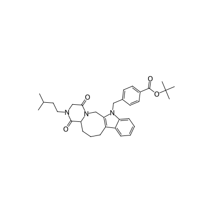 CC(C)CCN1CC(=O)N2Cc3c(c4ccccc4n3Cc3ccc(C(=O)OC(C)(C)C)cc3)CCCC2C1=O